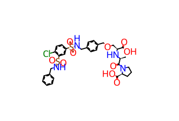 C[C@H](N[C@@H](COCc1ccc(CNS(=O)(=O)c2ccc(Cl)c(S(=O)(=O)NCc3ccccc3)c2)cc1)C(=O)O)C(=O)N1CCC[C@H]1C(=O)O